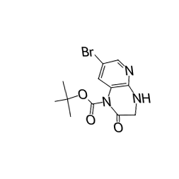 CC(C)(C)OC(=O)N1C(=O)CNc2ncc(Br)cc21